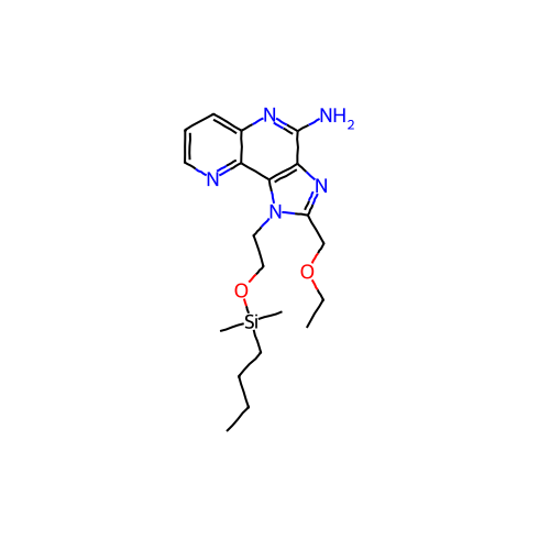 CCCC[Si](C)(C)OCCn1c(COCC)nc2c(N)nc3cccnc3c21